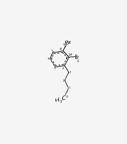 CCCCc1cccc(Br)c1Br